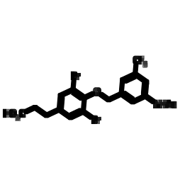 CC(=O)Nc1cc(COc2c(Br)cc(CCC(=O)O)cc2Br)cc(C(F)(F)F)c1